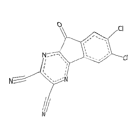 N#Cc1nc2c(nc1C#N)-c1cc(Cl)c(Cl)cc1C2=O